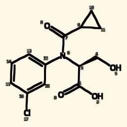 O=C(O)[C@H](CO)N(C(=O)C1CC1)c1cccc(Cl)c1